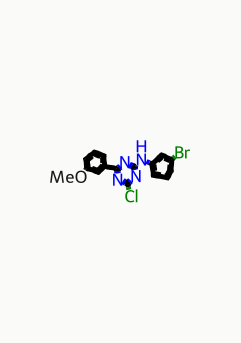 COc1cccc(-c2nc(Cl)nc(Nc3cccc(Br)c3)n2)c1